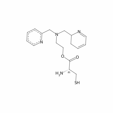 N[C@@H](CS)C(=O)OCCN(Cc1ccccn1)CC1CC=CC=N1